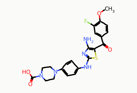 COc1ccc(C(=O)c2sc(Nc3ccc(N4CCN(C(=O)O)CC4)cc3)nc2N)cc1F